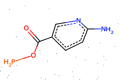 Nc1ccc(C(=O)OP)cn1